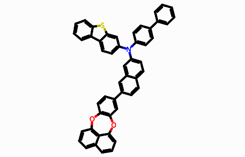 c1ccc(-c2ccc(N(c3ccc4ccc(-c5ccc6c(c5)Oc5cccc7cccc(c57)O6)cc4c3)c3ccc4c(c3)sc3ccccc34)cc2)cc1